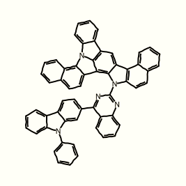 c1ccc(-n2c3ccccc3c3ccc(-c4nc(-n5c6ccc7ccccc7c6c6cc7c8ccccc8n8c9c%10ccccc%10ccc9c(c65)c78)nc5ccccc45)cc32)cc1